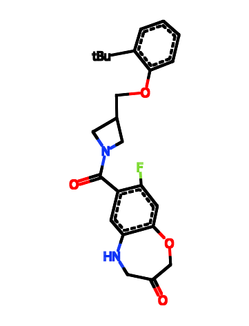 CC(C)(C)c1ccccc1OCC1CN(C(=O)c2cc3c(cc2F)OCC(=O)CN3)C1